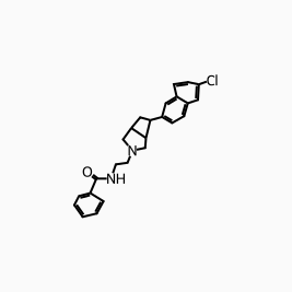 O=C(NCCN1CC2CC(c3ccc4cc(Cl)ccc4c3)C2C1)c1ccccc1